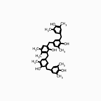 Cc1cc(Cc2cc(C)c(O)c(Cc3cc(C)c(O)c(C)c3)c2)c(O)c(Cc2cc(C)c(O)c(Cc3cc(C)c(O)c(C)c3)c2)c1C